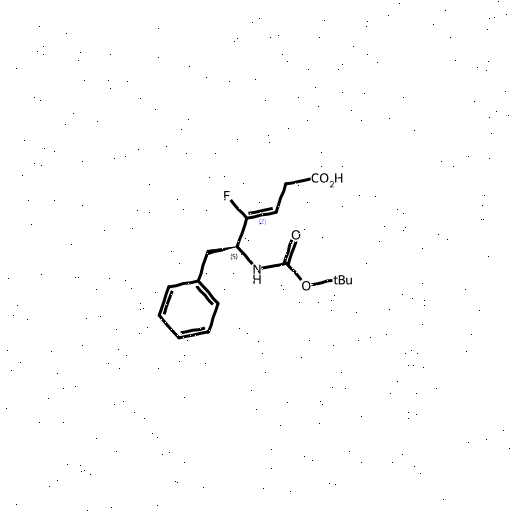 CC(C)(C)OC(=O)N[C@@H](Cc1ccccc1)/C(F)=C/CC(=O)O